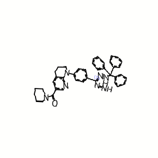 N=N/C(=N\NC(c1ccccc1)(c1ccccc1)c1ccccc1)c1ccc(N2CCCc3cc(C(=O)N4CCCCC4)cnc32)cc1